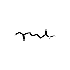 CC(C)(C)OC(=O)CCCNC(=O)CCl